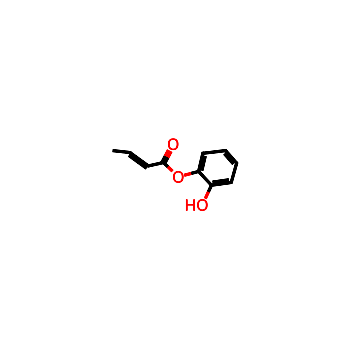 CC=CC(=O)Oc1ccccc1O